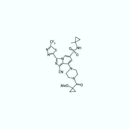 COC1(C(=O)N2CCN(c3cc(S(=O)(=O)NC4(C)CC4)cn4c(-c5nnc(C(F)(F)F)s5)nc(C#N)c34)CC2)CC1